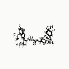 Cc1ccc(C[SH](=O)(P)c2ccc(/C=C/C(=O)NCC[C@H]3CC[C@@H](C)N3c3ccc4[nH]c(=O)cc(C(F)(F)F)c4c3)cc2)cc1